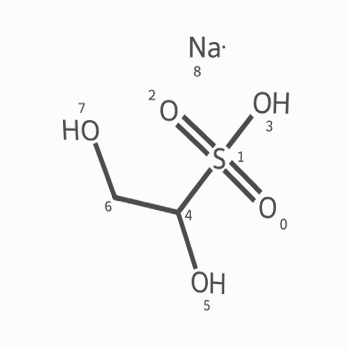 O=S(=O)(O)C(O)CO.[Na]